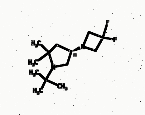 CC(C)(C)N1C[C@@H](N2CC(F)(F)C2)CC1(C)C